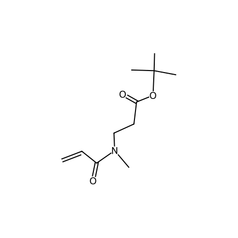 C=CC(=O)N(C)CCC(=O)OC(C)(C)C